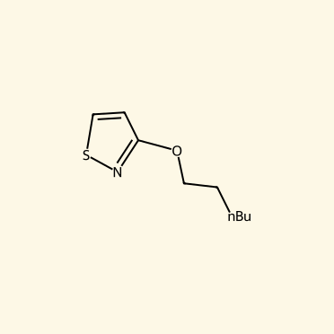 CCCCCCOc1ccsn1